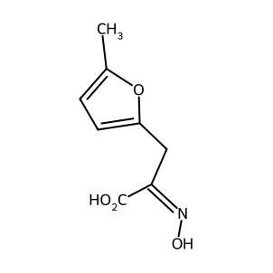 Cc1ccc(C/C(=N/O)C(=O)O)o1